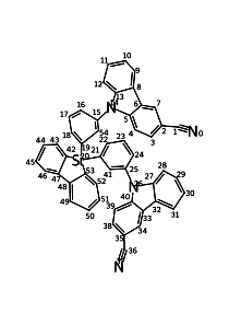 N#Cc1ccc2c(c1)c1ccccc1n2-c1cccc([Si]2(c3cccc(-n4c5ccccc5c5cc(C#N)ccc54)c3)c3ccccc3-c3ccccc32)c1